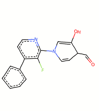 O=CC1C=CN(c2nccc(-c3ccccc3)c2F)C=C1O